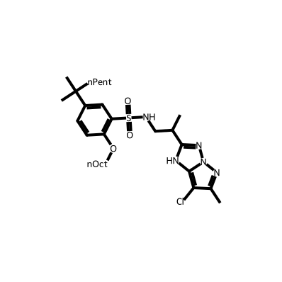 CCCCCCCCOc1ccc(C(C)(C)CCCCC)cc1S(=O)(=O)NCC(C)c1nn2nc(C)c(Cl)c2[nH]1